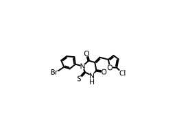 O=C1NC(=S)N(c2cccc(Br)c2)C(=O)C1=Cc1ccc(Cl)o1